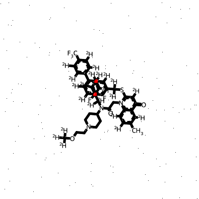 [2H]c1c([2H])c(F)c(F)c(C([2H])([2H])Sc2c([2H])c(=O)c3c([2H])c(C)c([2H])c([2H])c3n2CC(=O)N(C2CCN(CCOC([2H])([2H])[2H])CC2)C([2H])([2H])c2c([2H])c([2H])c(-c3c([2H])c([2H])c(C(F)(F)F)c([2H])c3[2H])c([2H])c2[2H])c1[2H]